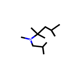 CC(C)CN(C)C(C)(C)CC(C)C